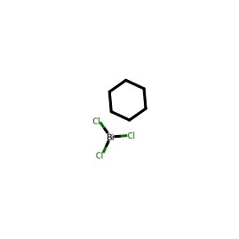 C1CCCCC1.[Cl][Bi]([Cl])[Cl]